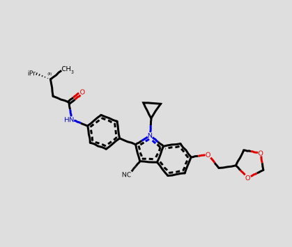 CC(C)[C@H](C)CC(=O)Nc1ccc(-c2c(C#N)c3ccc(OCC4COCO4)cc3n2C2CC2)cc1